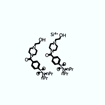 CCCN(CCC)S(=O)(=O)c1ccc(C(=O)N2CCN(CCO)CC2)cc1.CCCN(CCC)S(=O)(=O)c1ccc(C(=O)N2CCN(CCO)CC2)cc1.[Si+4]